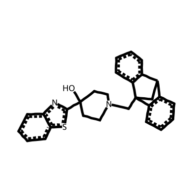 OC1(c2nc3ccccc3s2)CCN(CC23CC(c4ccccc42)c2ccccc23)CC1